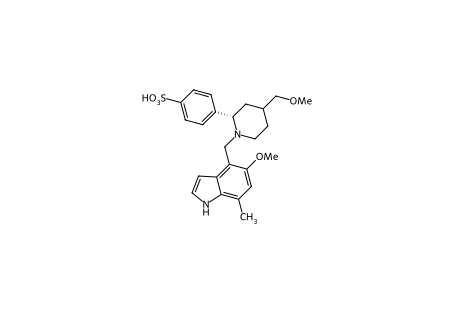 COCC1CCN(Cc2c(OC)cc(C)c3[nH]ccc23)[C@H](c2ccc(S(=O)(=O)O)cc2)C1